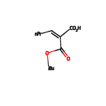 CCCC=C(C(=O)O)C(=O)OC(C)CC